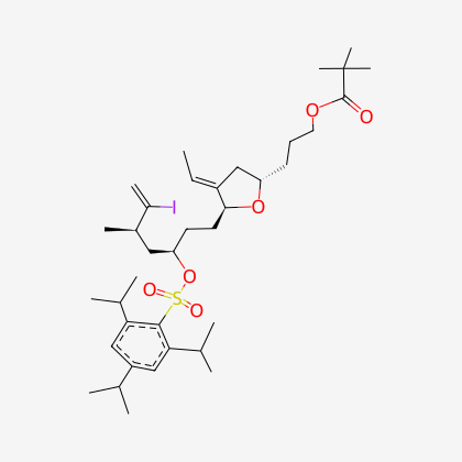 C=C(I)[C@H](C)C[C@@H](CC[C@@H]1O[C@@H](CCCOC(=O)C(C)(C)C)CC1=CC)OS(=O)(=O)c1c(C(C)C)cc(C(C)C)cc1C(C)C